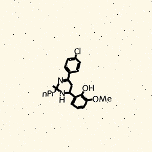 CCCC1(C)N=C(c2ccc(Cl)cc2)CC(c2cccc(OC)c2O)N1